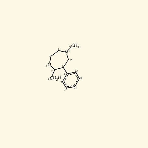 CN1CCOC(C(=O)O)C(c2ccccc2)C1